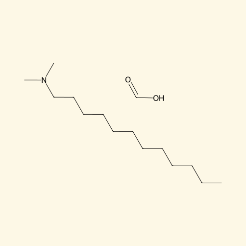 CCCCCCCCCCCCN(C)C.O=CO